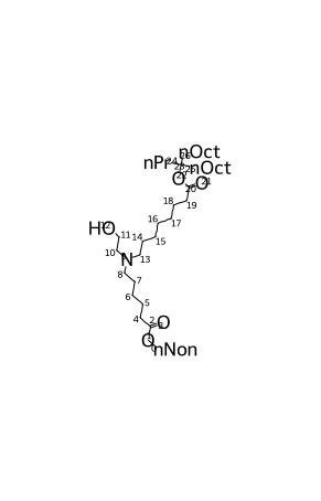 CCCCCCCCCOC(=O)CCCCCN(CCO)CCCCCCCC(=O)OC(CCC)(CCCCCCCC)CCCCCCCC